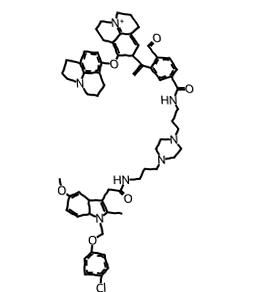 C=C(c1cc(C(=O)NCCCN2CCN(CCCNC(=O)CC3=C(C)N(COc4ccc(Cl)cc4)C4C=CC(OC)=CC34)CC2)ccc1C=O)C1C=C2CCC[N+]3=C2C(=C1Oc1ccc2c4c1CCCN4CCC2)CCC3